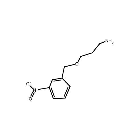 NCCCOCc1cccc([N+](=O)[O-])c1